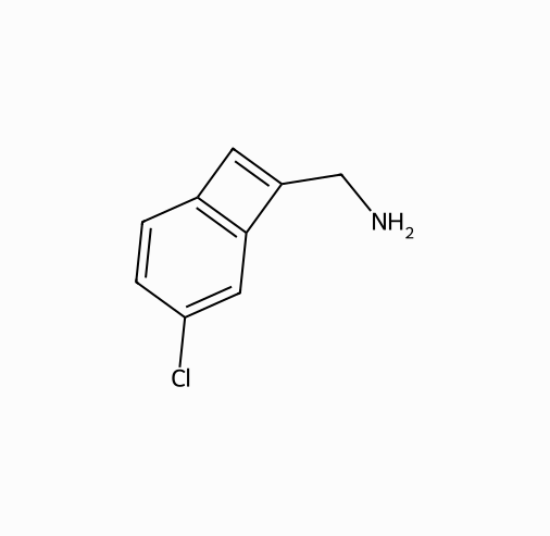 NCC1=Cc2ccc(Cl)cc21